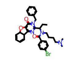 CCC(c1nc2c(c(=O)n1Cc1ccccc1)OC1C=CC=CC21)N(CCCCN(C)C)C(=O)c1ccc(Br)cc1